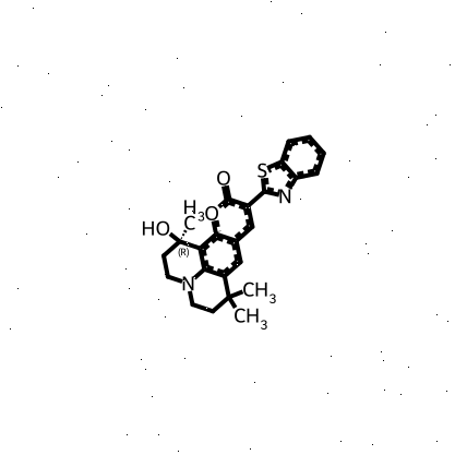 CC1(C)CCN2CC[C@@](C)(O)c3c2c1cc1cc(-c2nc4ccccc4s2)c(=O)oc31